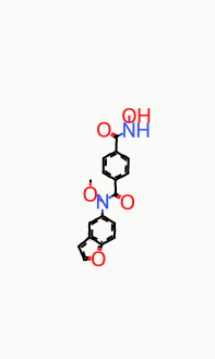 CON(C(=O)c1ccc(C(=O)NO)cc1)c1ccc2occc2c1